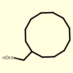 CCCCCCCCCC1CCCCCCCCCCC1